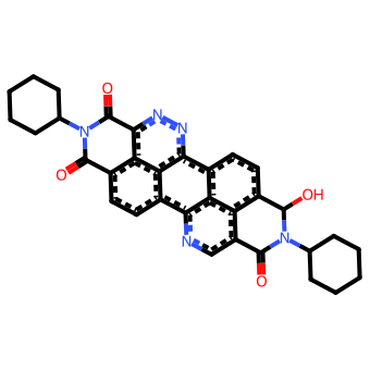 O=C1c2ccc3c4ncc5c6c(ccc(c7nnc(c2c37)C(=O)N1C1CCCCC1)c64)C(O)N(C1CCCCC1)C5=O